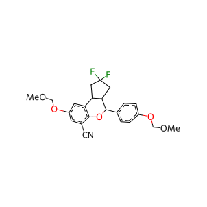 COCOc1ccc(C2Oc3c(C#N)cc(OCOC)cc3C3CC(F)(F)CC32)cc1